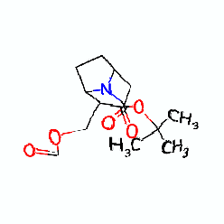 CC(C)(C)OC(=O)N1C2CCC1C(COC=O)C(=O)C2